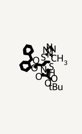 Cn1nnnc1SC1=C(C(=O)OC(c2ccccc2)c2ccccc2)N2C(=O)C(C(=O)OC(C)(C)C)[C@@H]2SC1